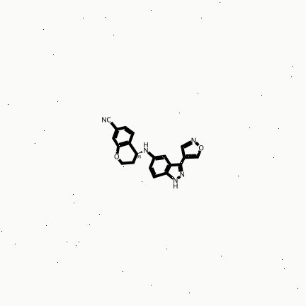 N#Cc1ccc2c(c1)OCC[C@H]2Nc1ccc2[nH]nc(-c3cnoc3)c2c1